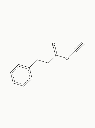 C#COC(=O)CCc1ccccc1